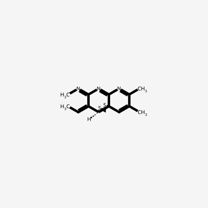 C/C=C1\C(=N/C)N=C2N=C(C)C(C)=C[C@]23SCS[C@H]13